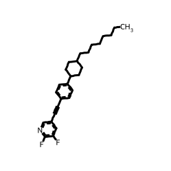 CCCCCCCCC1CCC(c2ccc(C#Cc3cnc(F)c(F)c3)cc2)CC1